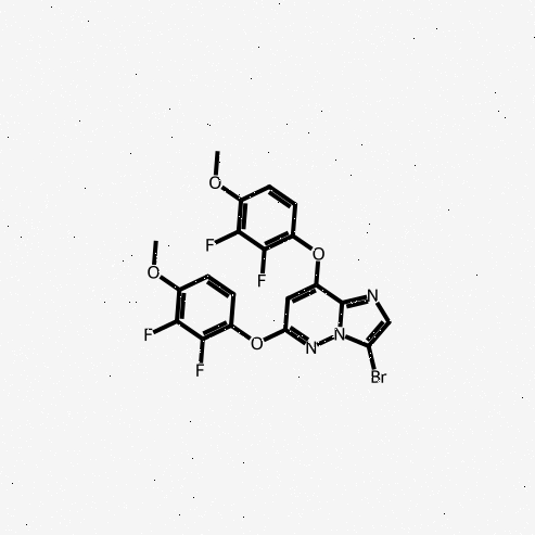 COc1ccc(Oc2cc(Oc3ccc(OC)c(F)c3F)c3ncc(Br)n3n2)c(F)c1F